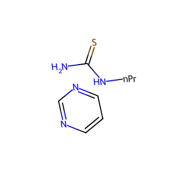 CCCNC(N)=S.c1cncnc1